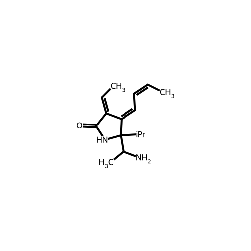 C\C=C/C=C1\C(=C/C)C(=O)NC1(C(C)C)C(C)N